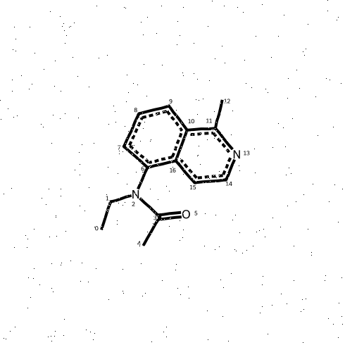 CCN(C(C)=O)c1cccc2c(C)nccc12